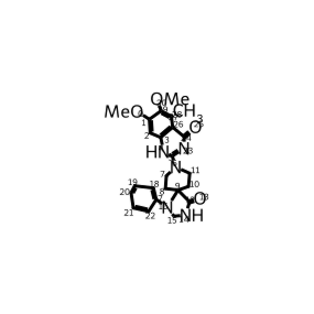 COc1cc2[nH]c(N3CCC4(CC3)C(=O)NCN4c3ccccc3)nc(=O)c2c(C)c1OC